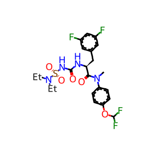 CCN(CC)S(=O)(=O)NC(=O)N[C@@H](Cc1cc(F)cc(F)c1)C(=O)N(C)c1ccc(OC(F)F)cc1